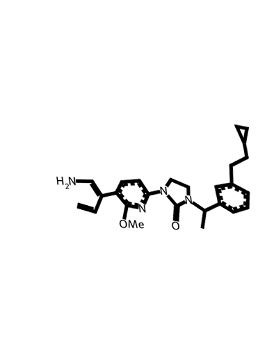 C=C/C(=C\N)c1ccc(N2CCN(C(C)c3cccc(CCC4CC4)c3)C2=O)nc1OC